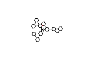 c1ccc(-c2ccccc2-c2ccc(N(c3ccc4c5ccccc5c5ccccc5c4c3)c3ccc(-c4ccc5c(ccc6ccccc65)c4)cc3-c3ccccc3)cc2)cc1